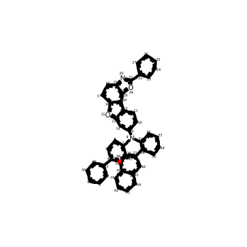 c1ccc(-c2ccc(N(c3ccc4c(c3)oc3ccc5nc(-c6ccccc6)oc5c34)c3ccccc3-c3ccc4ccccc4c3)cc2)cc1